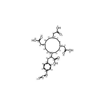 O=C(O)CN1CCN(CC(=O)O)CCN(C(Cc2ccc(N=C=S)cc2)C(=O)O)CCN(CC(=O)O)CC1